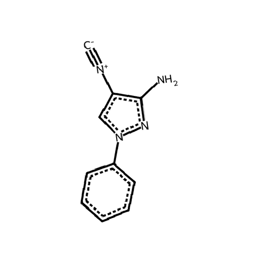 [C-]#[N+]c1cn(-c2ccccc2)nc1N